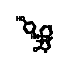 CC1=CSC(=O)[N+]1(C)C1(Nc2ccc(O)cc2)C=CN=CN1